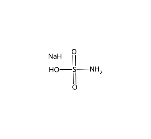 NS(=O)(=O)O.[NaH]